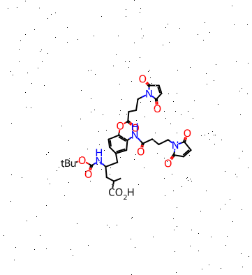 CC(CC(Cc1ccc(OC(=O)CCCN2C(=O)C=CC2=O)c(NC(=O)CCCN2C(=O)C=CC2=O)c1)NC(=O)OC(C)(C)C)C(=O)O